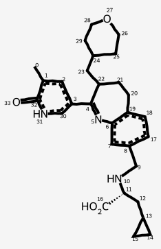 Cc1cc(C2=Nc3cc(CN[C@H](CC4CC4)C(=O)O)ccc3CCC2CC2CCOCC2)c[nH]c1=O